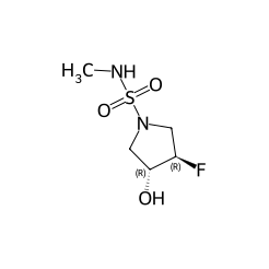 CNS(=O)(=O)N1C[C@@H](O)[C@H](F)C1